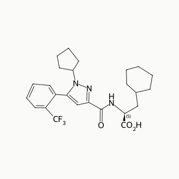 O=C(N[C@@H](CC1CCCCC1)C(=O)O)c1cc(-c2ccccc2C(F)(F)F)n(C2CCCC2)n1